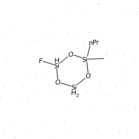 CCC[Si]1(C)O[SiH2]O[SiH](F)O1